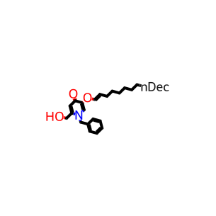 CCCCCCCCCCCCCCCCC=COc1cn(Cc2ccccc2)c(CO)cc1=O